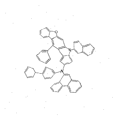 C1=CCC(c2ccc(N(c3ccc4c(c3)c3c(-c5ccccc5)c5c(cc3n4-c3ccc4ccccc4c3)oc3ccccc35)c3cc4ccccc4c4ccccc34)cc2)C=C1